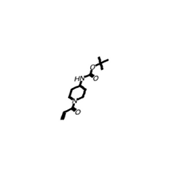 C=CC(=O)N1CCC(NC(=O)OC(C)(C)C)CC1